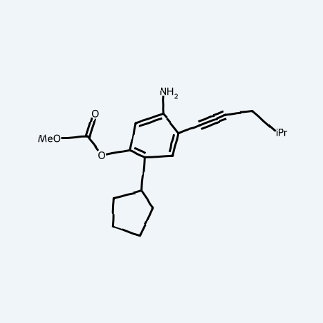 COC(=O)Oc1cc(N)c(C#CCC(C)C)cc1C1CCCC1